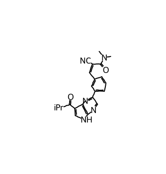 CC(C)C(=O)c1c[nH]c2ncc(-c3cccc(C=C(C#N)C(=O)N(C)C)c3)nc12